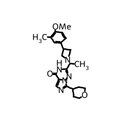 COc1ccc(C2CN(C(C)c3nn4c(C5CCOCC5)ncc4c(=O)[nH]3)C2)cc1C